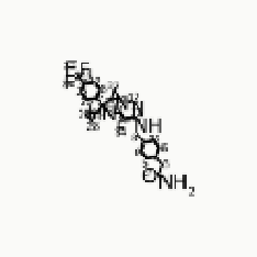 NC(=O)Cc1ccc(CNc2ncnc(NC(c3ccc(C(F)(F)F)cc3)(C3CC3)C3CC3)c2F)cc1